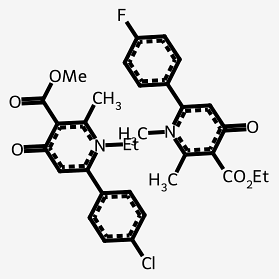 CCOC(=O)c1c(C)n(C)c(-c2ccc(F)cc2)cc1=O.CCn1c(-c2ccc(Cl)cc2)cc(=O)c(C(=O)OC)c1C